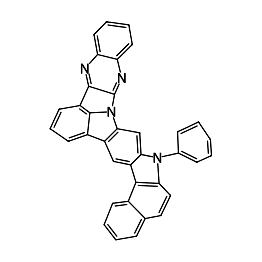 c1ccc(-n2c3cc4c(cc3c3c5ccccc5ccc32)c2cccc3c5nc6ccccc6nc5n4c23)cc1